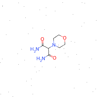 NC(=O)C(C(N)=O)N1CCOCC1